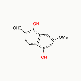 COc1cc(O)c2ccc(C=O)c(O)c2c1